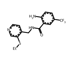 CCSc1cnccc1CNC(=O)c1cc(C(F)(F)F)ccc1N